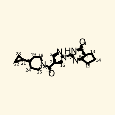 O=C(c1cnn(-c2nc3c(c(=O)[nH]2)CCC3)c1)N1CCC(C2CC2)CC1